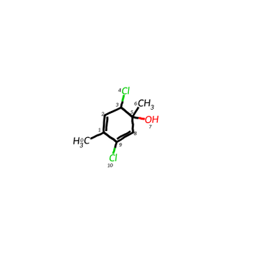 CC1=CC(Cl)C(C)(O)C=C1Cl